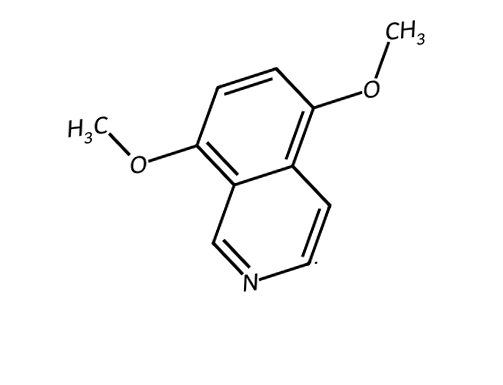 COc1ccc(OC)c2cn[c]cc12